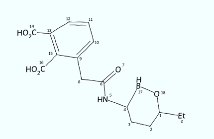 CCC1CCC(NC(=O)Cc2cccc(C(=O)O)c2C(=O)O)BO1